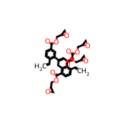 C=Cc1ccc(C(=O)OCC2CO2)cc1/C(=C/C(=O)OCC1CO1)Cc1c(C(=O)OCC2CO2)ccc(C=C)c1/C=C/C(=O)OCC1CO1